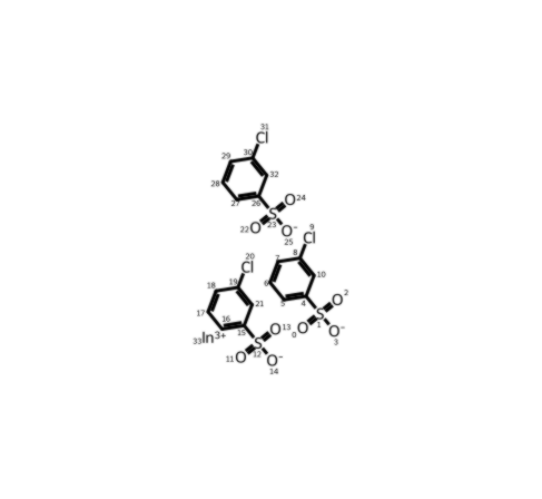 O=S(=O)([O-])c1cccc(Cl)c1.O=S(=O)([O-])c1cccc(Cl)c1.O=S(=O)([O-])c1cccc(Cl)c1.[In+3]